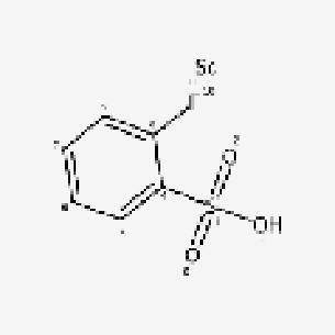 O=S(=O)(O)c1ccccc1F.[Sc]